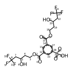 O=C(OCCC(O)CC(F)(F)F)c1cc(C(=O)OCCC(O)CC(F)(F)F)cc(S(=O)(=O)O)c1